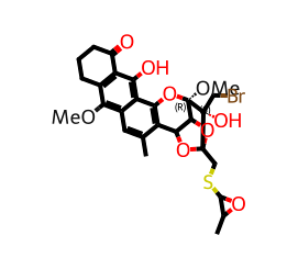 COc1c2c(c(O)c3c4c(c(C)cc13)C1OC3(CSC5OC5C)OC1[C@@](OC)(O4)[C@@]3(O)CBr)C(=O)CCC2